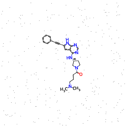 CN(C)CCCC(=O)N1CC[C@@H](Nc2ncnc3[nH]c(C#Cc4ccccc4)cc23)C1